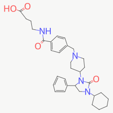 O=C(O)CCCNC(=O)c1ccc(CN2CCC(N3C(=O)N(C4CCCCC4)CC3c3ccccc3)CC2)cc1